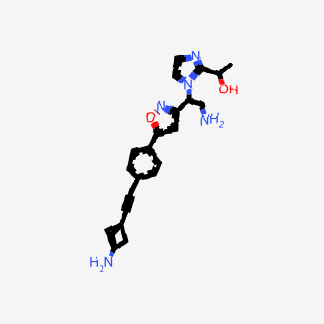 CC(O)c1nccn1C(CN)c1cc(-c2ccc(C#CC34CC(N)(C3)C4)cc2)on1